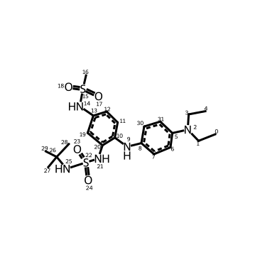 CCN(CC)c1ccc(Nc2ccc(NS(C)(=O)=O)cc2NS(=O)(=O)NC(C)(C)C)cc1